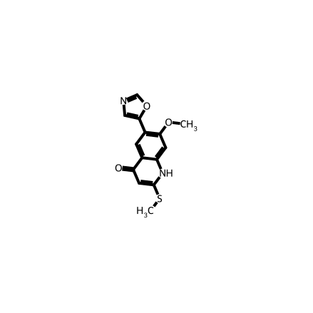 COc1cc2[nH]c(SC)cc(=O)c2cc1-c1cnco1